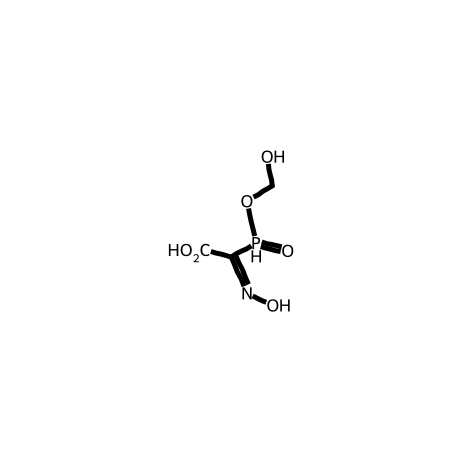 O=C(O)C(=NO)[PH](=O)OCO